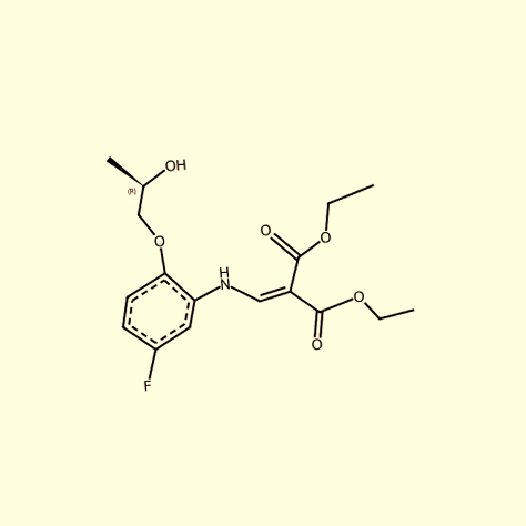 CCOC(=O)C(=CNc1cc(F)ccc1OC[C@@H](C)O)C(=O)OCC